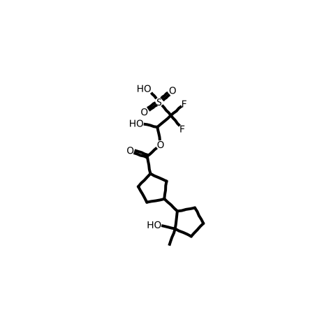 CC1(O)CCCC1C1CCC(C(=O)OC(O)C(F)(F)S(=O)(=O)O)C1